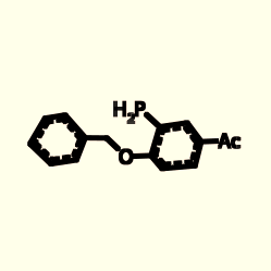 CC(=O)c1ccc(OCc2ccccc2)c(P)c1